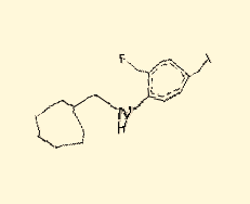 Fc1cc(I)ccc1NCC1CCCCC1